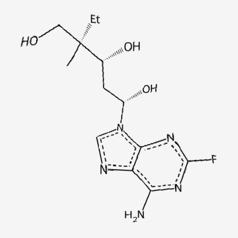 CC[C@](C)(CO)[C@H](O)C[C@H](O)n1cnc2c(N)nc(F)nc21